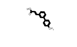 Cc1ccc(-c2cccc(C=CC(=O)O)c2)cc1